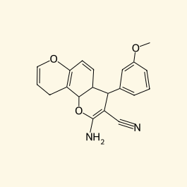 COc1cccc(C2C(C#N)=C(N)OC3C4=C(C=CC32)OC=CC4)c1